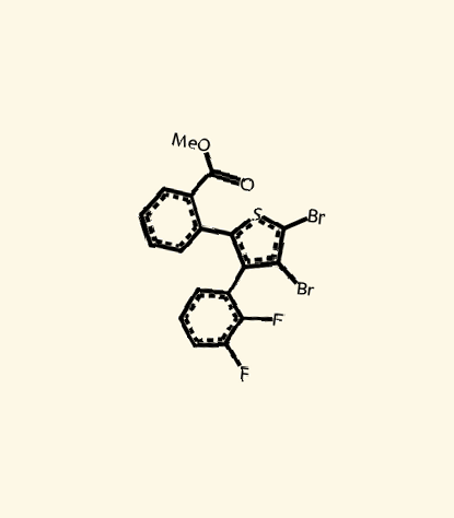 COC(=O)c1ccccc1-c1sc(Br)c(Br)c1-c1cccc(F)c1F